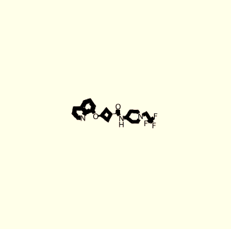 O=C(NC1CCN(CC(F)(F)F)CC1)[C@H]1C[C@H](Oc2cccc3cccnc23)C1